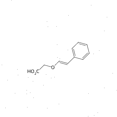 O=C(O)COC=Cc1ccccc1